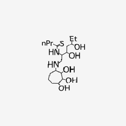 CCCC(=S)NC(CNC1CCCC(O)C(O)C1O)C(O)CC(O)CC